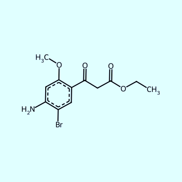 CCOC(=O)CC(=O)c1cc(Br)c(N)cc1OC